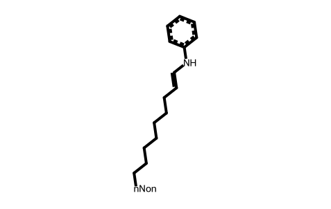 CCCCCCCCCCCCCCCCC=CNc1ccccc1